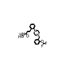 O=C(/C=C/c1ccccc1N1CCN(Cc2ccccc2OC(F)F)CC1)NO